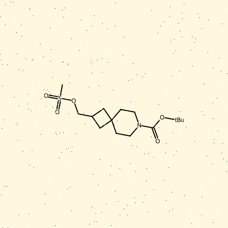 CC(C)(C)OC(=O)N1CCC2(CC1)CC(COS(C)(=O)=O)C2